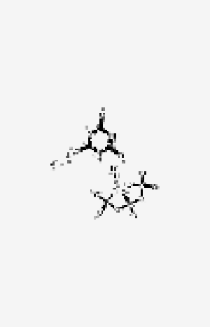 O=P([O-])([O-])OP(=O)([O-])OP(=O)([O-])[O-].O=c1[nH]c(=O)[nH]c(=O)[nH]1.[Li+].[Li+].[Li+].[Li+].[Li+]